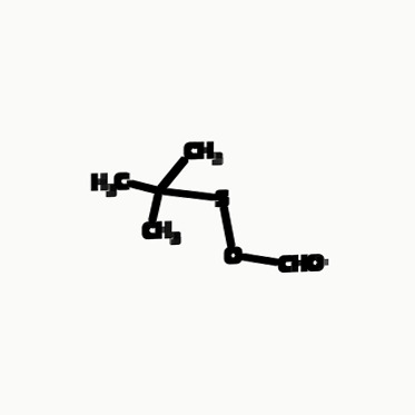 CC(C)(C)SO[C]=O